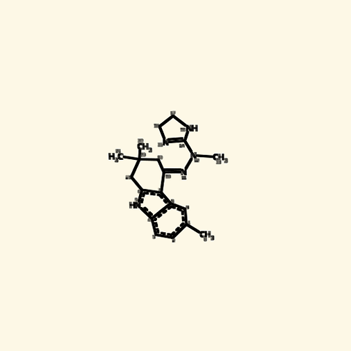 Cc1ccc2[nH]c3c(c2c1)C(=NN(C)C1=NCCN1)CC(C)(C)C3